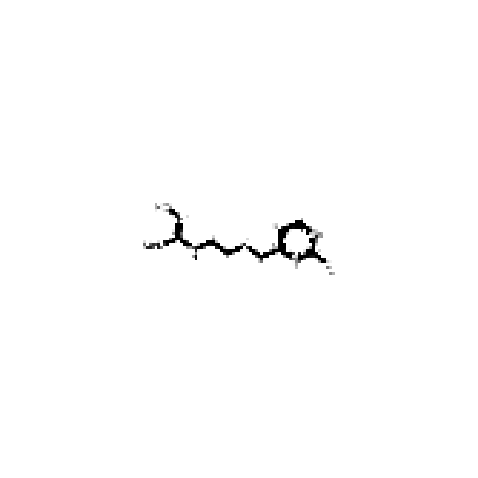 CNC(=NC#N)NCCSCc1ccnc(Cl)n1